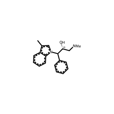 CNC[C@@H](O)C(c1ccccc1)n1cc(C)c2ccccc21